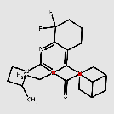 CCOC(=O)CC1C2CC1CN(c1nc(N3CCC3C)nc3c1CCCC3(F)F)C2